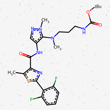 Cc1sc(-c2c(F)cccc2F)nc1C(=O)Nc1cnn(C)c1N(C)CCCNC(=O)OC(C)(C)C